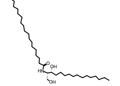 CCCCCCCCCCCCCCCCCC(=O)N[C@@H](CO)[C@H](O)CCCCCCCCCCCCC